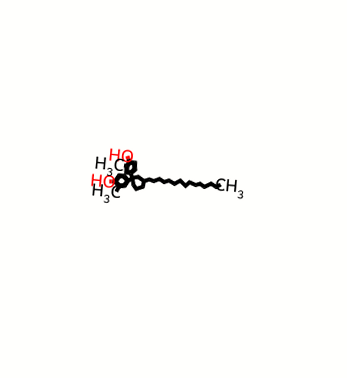 CCCCCCCCCCCCCCCC1CCCC(c2ccc(O)c(C)c2)(c2ccc(O)c(C)c2)C1